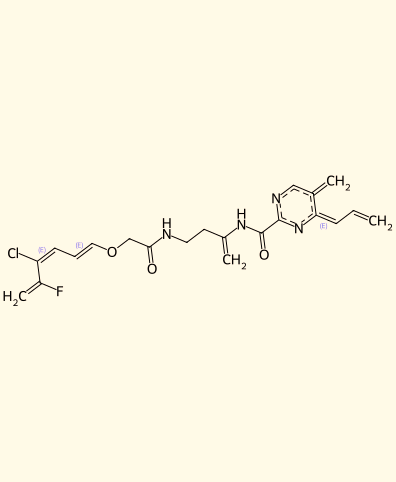 C=C/C=c1/nc(C(=O)NC(=C)CCNC(=O)CO/C=C/C=C(/Cl)C(=C)F)ncc1=C